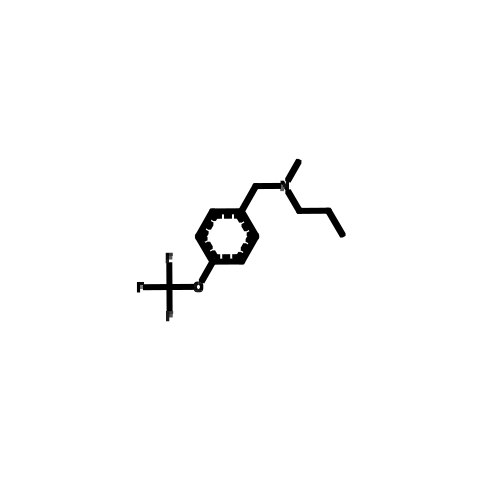 CCCN(C)Cc1ccc(OC(F)(F)F)cc1